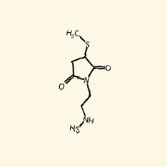 CSC1CC(=O)N(CCNS)C1=O